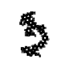 CCc1c(F)ccc2cc(O)cc(-c3ncc4c(N5CCC[C@@](C)(O)C5)nc(OC[C@@]56CCCN5[C@H](CN5CCC(CN7CCC(c8ccc9c(c8)n(C)c(=O)n9C8CCC(=O)NC8=O)CC7)CC5)CC6)nc4c3F)c12